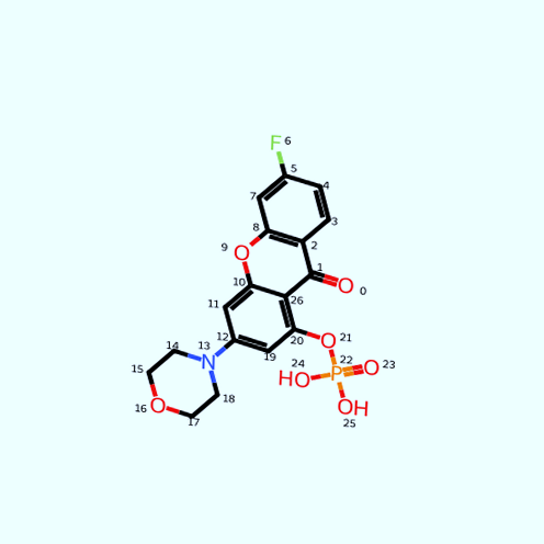 O=c1c2ccc(F)cc2oc2cc(N3CCOCC3)cc(OP(=O)(O)O)c12